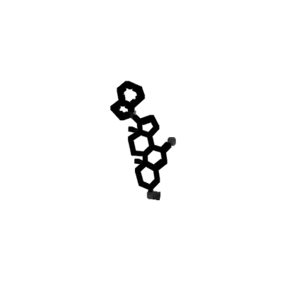 C[C@]12CC[C@H](O)CC1=CC(=O)C1C2CC[C@]2(C)C(n3ccc4ccccc43)=CCC12